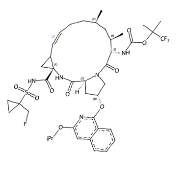 CC(C)Oc1cc2ccccc2c(O[C@@H]2C[C@H]3C(=O)N[C@]4(C(=O)NS(=O)(=O)C5(CF)CC5)CC4/C=C\CC[C@@H](C)C[C@@H](C)[C@H](NC(=O)OC(C)(C)C(F)(F)F)C(=O)N3C2)n1